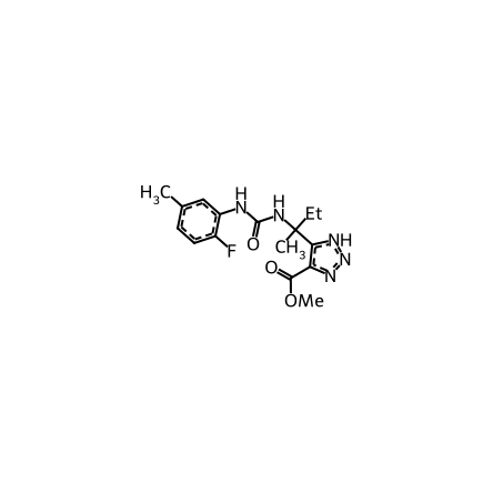 CCC(C)(NC(=O)Nc1cc(C)ccc1F)c1[nH]nnc1C(=O)OC